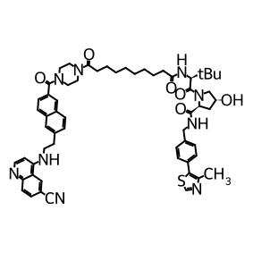 Cc1ncsc1-c1ccc(CNC(=O)[C@@H]2C[C@@H](O)CN2C(=O)[C@@H](NC(=O)CCCCCCCCC(=O)N2CCN(C(=O)c3ccc4cc(CCNc5ccnc6ccc(C#N)cc56)ccc4c3)CC2)C(C)(C)C)cc1